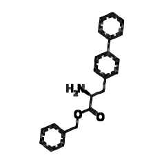 N[C@@H](Cc1ccc(-c2ccccc2)cc1)C(=O)OCc1ccccc1